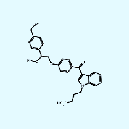 CCOC(COc1ccc(C(=O)c2cn(CCCC(=O)O)c3ccccc23)cc1)c1ccc(CC(C)C)cc1